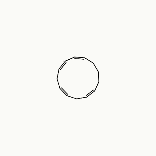 [C]1=CCC=CCC=CCCCC=C1